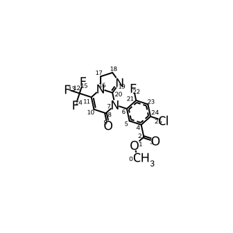 COC(=O)c1cc(N2C(=O)C=C(C(F)(F)F)N3CCN=C32)c(F)cc1Cl